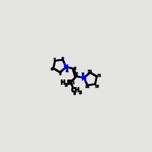 C[SiH2]C(=CN1CCCC1)N1CCCC1